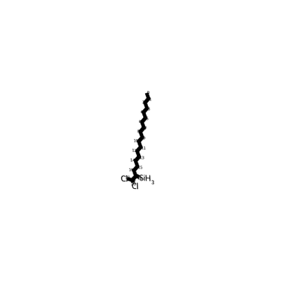 CCCCCCCCCCCCCCCCCC([SiH3])C(Cl)Cl